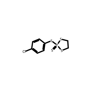 S=P1(Sc2ccc(Cl)cc2)SCCS1